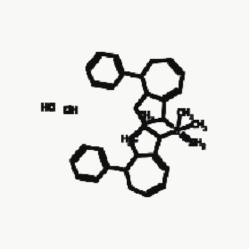 CC1CC2C(=CC=CCC2c2ccccc2)[CH]1[Zr]([CH3])([CH3])(=[SiH2])[CH]1C2=CC=CCC(c3ccccc3)C2CC1C.Cl.Cl